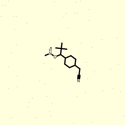 C[SiH](C)OC(C1CCC(CC#N)CC1)C(C)(C)C